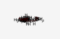 CC[C@H](C)[C@@H]([C@@H](CC(=O)N1CCC[C@H]1[C@H](OC)[C@@H](C)C(=O)N[C@H](C)[C@@H](O)c1ccccc1)OC)N(C)C(=O)[C@@H](NC(=O)[C@H](C(C)C)N(C)C(=O)OCc1ccc(OS(=O)(=O)O)cc1NC(=O)CCNC(=O)CCOCCOCCNC1CCN(C(=O)CCn2c(CN(C)NC)cc3cccnc32)CC1)C(C)C